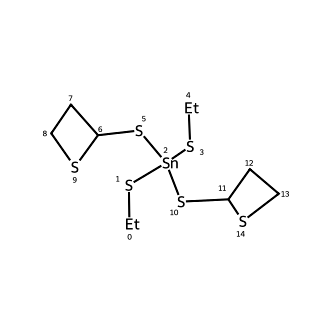 CC[S][Sn]([S]CC)([S]C1CCS1)[S]C1CCS1